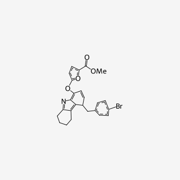 COC(=O)c1ccc(OC2=C3N=C4CCCCC4=C3C(Cc3ccc(Br)cc3)C=C2)o1